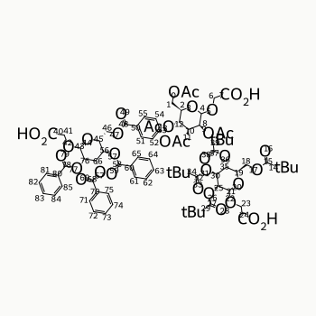 CC(=O)OC[C@H]1OC(OCC(=O)O)[C@@H](OC(C)=O)[C@@H](OC(C)=O)[C@@H]1OC(C)=O.CC(C)(C)C(=O)OC[C@H]1OC(OCC(=O)O)[C@@H](OC(=O)C(C)(C)C)[C@@H](OC(=O)C(C)(C)C)[C@@H]1OC(=O)C(C)(C)C.O=C(O)COC1O[C@H](COC(=O)c2ccccc2)[C@@H](OC(=O)c2ccccc2)[C@H](OC(=O)c2ccccc2)[C@@H]1OC(=O)c1ccccc1